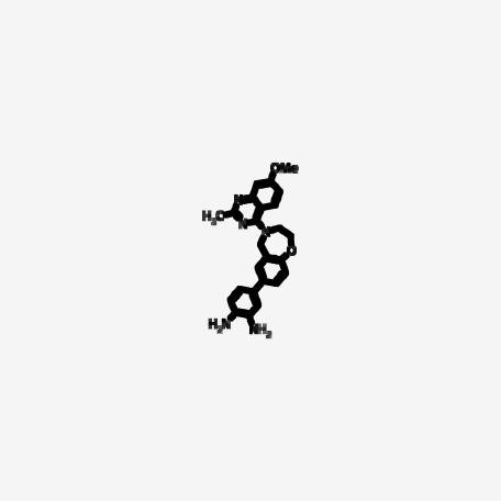 COc1ccc2c(N3CCOc4ccc(-c5ccc(N)c(N)c5)cc4C3)nc(C)nc2c1